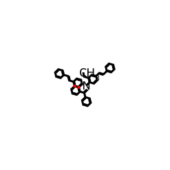 CCc1cc(C=Cc2ccccc2)ccc1N(C=C(c1ccccc1)c1ccccc1)c1ccc(C=Cc2ccccc2)cc1